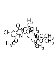 COc1cc(Cl)cc2c(=O)n(CC(C)(C)C)c(CCCCN(C)C(=O)OC(C)(C)C)nc12